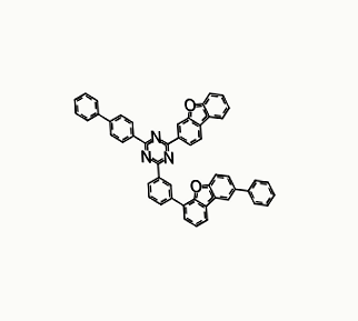 c1ccc(-c2ccc(-c3nc(-c4cccc(-c5cccc6c5oc5ccc(-c7ccccc7)cc56)c4)nc(-c4ccc5c(c4)oc4ccccc45)n3)cc2)cc1